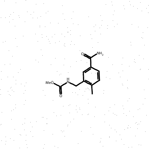 COC(=O)NCc1cc(C(N)=O)ccc1C